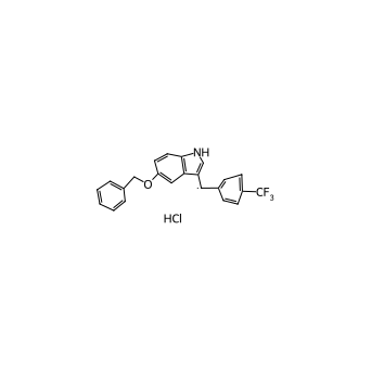 Cl.FC(F)(F)c1ccc([CH]c2c[nH]c3ccc(OCc4ccccc4)cc23)cc1